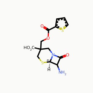 NC1C(=O)N2CC(COC(=O)c3cccs3)(C(=O)O)CS[C@H]12